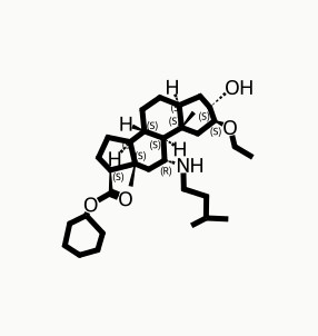 CCO[C@H]1C[C@@]2(C)[C@@H](CC[C@@H]3[C@@H]2[C@H](NCCC(C)C)C[C@]2(C)[C@@H](C(=O)OC4CCCCC4)CC[C@@H]32)C[C@@H]1O